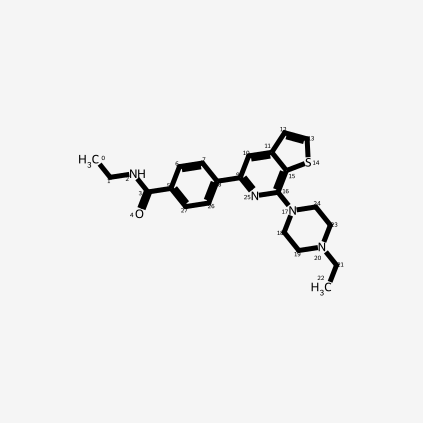 CCNC(=O)c1ccc(-c2cc3ccsc3c(N3CCN(CC)CC3)n2)cc1